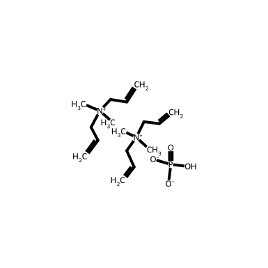 C=CC[N+](C)(C)CC=C.C=CC[N+](C)(C)CC=C.O=P([O-])([O-])O